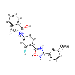 COc1cccc(-c2noc(-c3ccc(NC(=O)c4ccccc4OC)cc3F)n2)c1